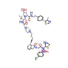 Cc1ncsc1-c1ccc(CCNC(=O)[C@@H]2C[C@H](O)CN2C(=O)[C@@H](NC(=O)CN2CCN(CCCC#Cc3cccc4c3C(=O)N([C@H](C(=O)Nc3nccs3)c3cc(F)ccc3O)C4)CC2)C(C)(C)C)cc1